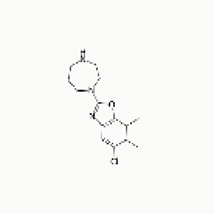 Cc1c(Cl)cc2nc(N3CCCNCC3)oc2c1C